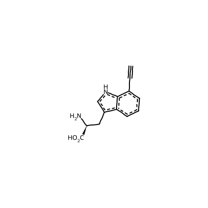 C#Cc1cccc2c(C[C@H](N)C(=O)O)c[nH]c12